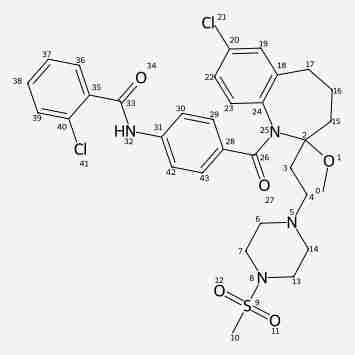 COC1(CCN2CCN(S(C)(=O)=O)CC2)CCCc2cc(Cl)ccc2N1C(=O)c1ccc(NC(=O)c2ccccc2Cl)cc1